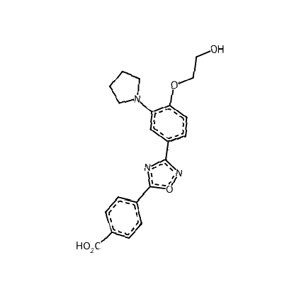 O=C(O)c1ccc(-c2nc(-c3ccc(OCCO)c(N4CCCC4)c3)no2)cc1